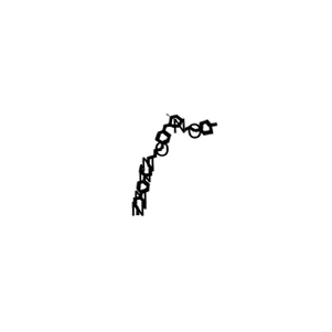 Cc1ccc(OCCN2CC[C@@H](C)C(Cc3ccc(OCCCN4CCN(c5ccc(N6CCN(C)CC6)cc5)CC4)cc3)C2)cc1